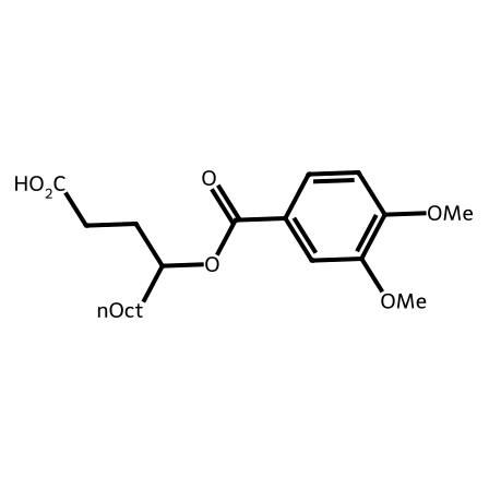 CCCCCCCCC(CCC(=O)O)OC(=O)c1ccc(OC)c(OC)c1